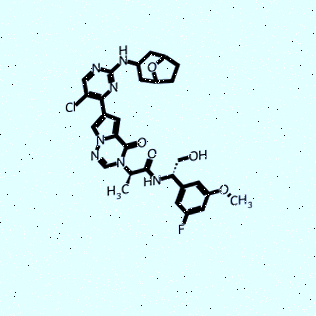 COc1cc(F)cc([C@@H](CO)NC(=O)[C@@H](C)n2cnn3cc(-c4nc(NC5CC6CCC(C5)O6)ncc4Cl)cc3c2=O)c1